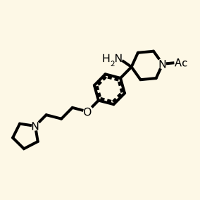 CC(=O)N1CCC(N)(c2ccc(OCCCN3CCCC3)cc2)CC1